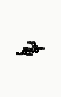 COc1cc(OC)c(C=C[S+]([O-])Cc2ccc(OC)c(OC(=O)CC(=O)O)c2)c(OC)c1